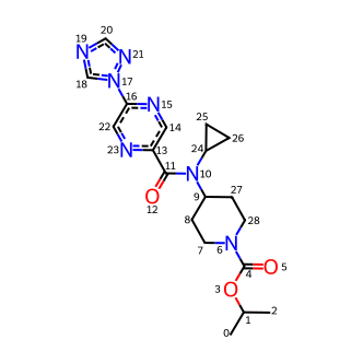 CC(C)OC(=O)N1CCC(N(C(=O)c2cnc(-n3cncn3)cn2)C2CC2)CC1